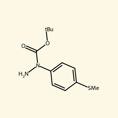 CSc1ccc(N(N)C(=O)OC(C)(C)C)cc1